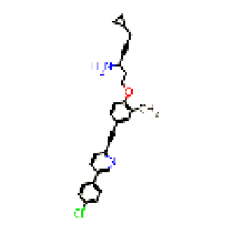 Cc1cc(C#Cc2ccc(-c3ccc(Cl)cc3)cn2)ccc1OCCC(N)C#CCC1CC1